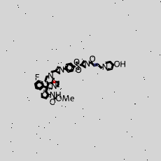 COC(=O)N[C@H]1CCC[C@@H]1[C@](CN1CCC1)(c1cccc(F)c1)C1CCN(CC2CN(c3ccc(S(=O)(=O)C4CN(C(=O)/C=C/CN5CCC(O)CC5)C4)cc3)C2)CC1